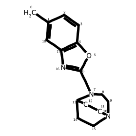 Cc1ccc2oc(N3CCN4CCC3CC4)nc2c1